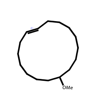 COC1CCCCCC/C=C/CCCCCCC1